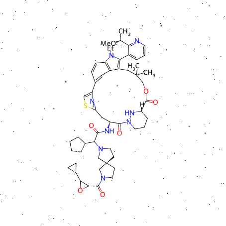 CCn1c(-c2cccnc2[C@H](C)OC)c2c3cc(ccc31)-c1csc(n1)C[C@H](NC(=O)C(C1CCCC1)N1CC[C@]3(CCN(C(=O)[C@@H]4OC4C4CC4)C3)C1)C(=O)N1CCC[C@H](N1)C(=O)OCC(C)(C)C2